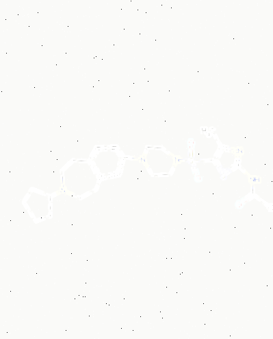 CC(=O)Nc1nc(C)c(S(=O)(=O)N2CCN(c3ccc4c(c3)CCN(C3CCCC3)CC4)CC2)s1